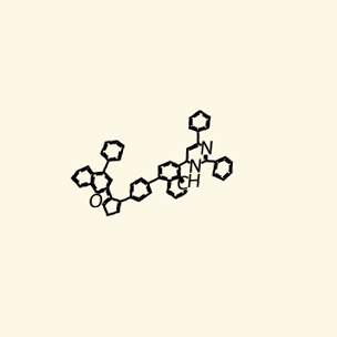 C1=C(c2ccccc2)N=C(c2ccccc2)NC1c1ccc(-c2ccc(C3=CCc4oc5c(cc(-c6ccccc6)c6ccccc65)c43)cc2)c2ccccc12